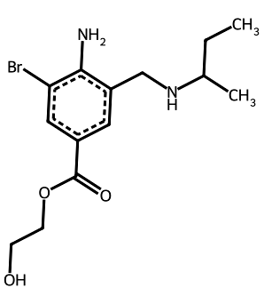 CCC(C)NCc1cc(C(=O)OCCO)cc(Br)c1N